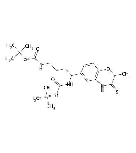 CC1Oc2ccc(C(CCCNC(=O)OC(C)(C)C)NC(=O)OC(C)(C)C)cc2NC1=S